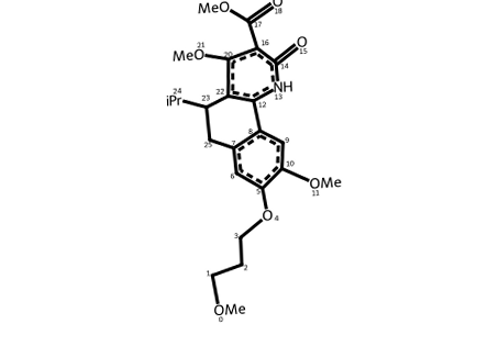 COCCCOc1cc2c(cc1OC)-c1[nH]c(=O)c(C(=O)OC)c(OC)c1C(C(C)C)C2